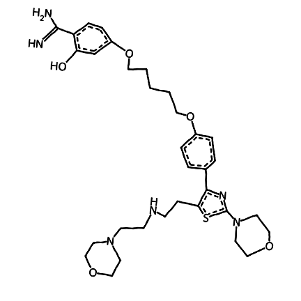 N=C(N)c1ccc(OCCCCCOc2ccc(-c3nc(N4CCOCC4)sc3CCNCCN3CCOCC3)cc2)cc1O